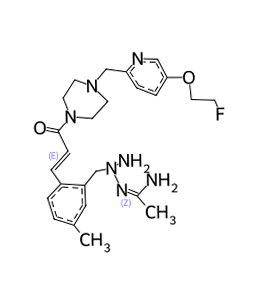 C/C(N)=N/N(N)Cc1cc(C)ccc1/C=C/C(=O)N1CCN(Cc2ccc(OCCF)cn2)CC1